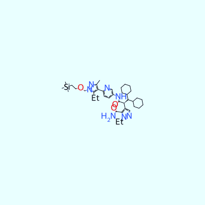 CCc1c(-c2ccc(NC(=O)[C@H](c3cnn(CC)c3C(N)=O)C(C3CCCCC3)C3CCCCC3)cn2)c(C)nn1COCC[Si](C)(C)C